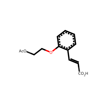 CC(=O)OCCOc1ccccc1/C=C/C(=O)O